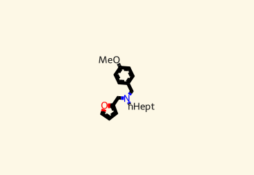 CCCCCCCN(Cc1ccc(OC)cc1)Cc1ccco1